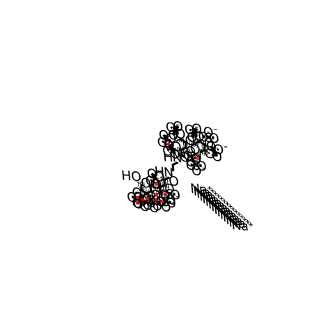 O=C(NCCCNC(=O)[C@H](OS(=O)(=O)[O-])[C@@H](OS(=O)(=O)[O-])[C@H](O[C@@H]1O[C@H](COS(=O)(=O)[O-])[C@H](OS(=O)(=O)[O-])[C@H](OS(=O)(=O)[O-])[C@H]1OS(=O)(=O)[O-])[C@@H](COS(=O)(=O)[O-])OS(=O)(=O)[O-])[C@@H](OS(=O)(=O)[O-])[C@H](OS(=O)(=O)[O-])[C@@H](O[C@H]1O[C@@H](CO)[C@@H](OS(=O)(=O)[O-])[C@@H](OS(=O)(=O)[O-])[C@@H]1OS(=O)(=O)[O-])[C@H](COS(=O)(=O)[O-])OS(=O)(=O)[O-].[Na+].[Na+].[Na+].[Na+].[Na+].[Na+].[Na+].[Na+].[Na+].[Na+].[Na+].[Na+].[Na+].[Na+].[Na+]